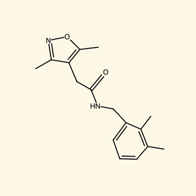 Cc1cccc(CNC(=O)Cc2c(C)noc2C)c1C